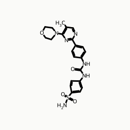 Cc1cnc(-c2ccc(NC(=O)Nc3ccc(S(N)(=O)=O)cc3)cc2)nc1N1CCOCC1